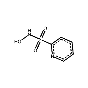 O=S(=O)(NO)c1ccccn1